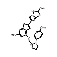 COc1ccc(N2CCC[C@H]2COc2cc(OC)cc3oc(-c4cn5c(n4)SC(OC)N5)cc23)cc1